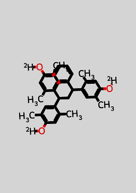 [2H]Oc1cc(C)c(C(CC(c2cc(C)c(O[2H])cc2C)c2cc(C)c(O[2H])cc2C)c2ccccc2)cc1C